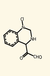 O=CC(=O)C1NCN(Cl)c2ccccc21